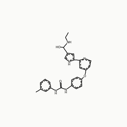 CCNC(O)c1c[nH]c(-c2cc(Oc3ccc(NC(=O)Nc4cccc(C)c4)cc3)ccn2)c1